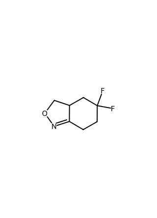 FC1(F)CCC2=NOCC2C1